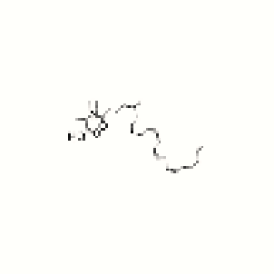 CC/C=C\C/C=C\C/C=C\C/C=C\C/C=C\C/C(C)=C\CCC(=O)NC(C)C(=O)O